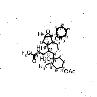 CC(=O)O[C@H]1CC[C@@](C)([C@H]2CC[C@@]3(C)[C@@H](C[C@H]4O[C@]43c3ccccc3)[C@@H]2CNC(=O)C(F)(F)F)[C@@H](C)C1